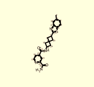 Cc1ccc2sc(C3CC4(CC(NC(=O)c5ccnc(C(N)=O)c5)C4)C3)nc2c1